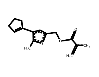 C=C(C)C(=O)OCc1cc(C2=CCCC2)c(C)s1